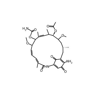 COC1/C=C\C=C(/C)C(=O)NC2=CC(=O)C(N)=C(C[C@@H](C)CC(OC)[C@H](OC(C)=O)C(C)/C=C(\C)C1OC(N)=O)C2=O